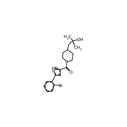 CC(C)(O)CC1CCN(C(=O)c2cc(-c3ccccc3Br)n[nH]2)CC1